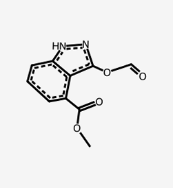 COC(=O)c1cccc2[nH]nc(OC=O)c12